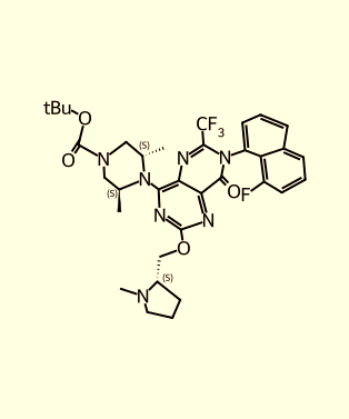 C[C@H]1CN(C(=O)OC(C)(C)C)C[C@H](C)N1c1nc(OC[C@@H]2CCCN2C)nc2c(=O)n(-c3cccc4cccc(F)c34)c(C(F)(F)F)nc12